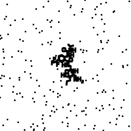 CCC[C@H](O)[C@H](CN)NC(=O)CNC(=O)c1cc(C(F)(F)F)ccc1NC(=O)NC(C)C